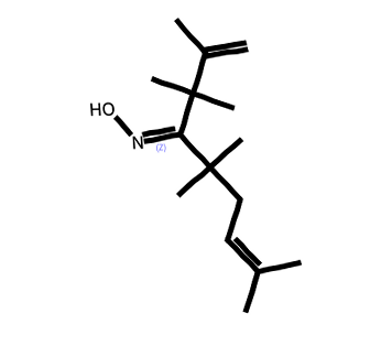 C=C(C)C(C)(C)/C(=N\O)C(C)(C)CC=C(C)C